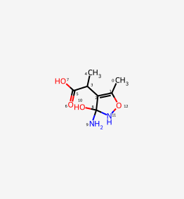 CC1=C(C(C)C(=O)O)C(N)(O)NO1